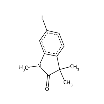 CN1C(=O)C(C)(C)c2ccc(I)cc21